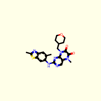 Cc1nc2cc(C)c(Nc3ncc4c(n3)n(CC3CCOCC3)c(=O)c(=O)n4C)cc2s1